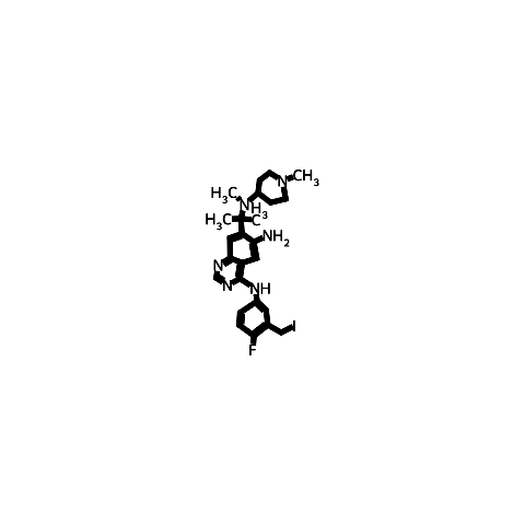 CN1CCC(N(C)C(C)(C)c2cc3ncnc(Nc4ccc(F)c(CI)c4)c3cc2N)CC1